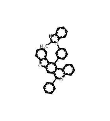 Cc1nc2ccccc2n1-c1cccc(-c2c3c(cc4c(-c5ccccc5)nc5ccccc5c24)oc2ccccc23)c1